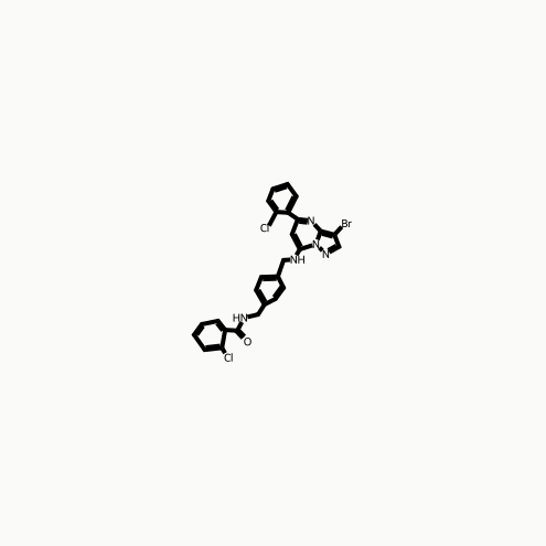 O=C(NCc1ccc(CNc2cc(-c3ccccc3Cl)nc3c(Br)cnn23)cc1)c1ccccc1Cl